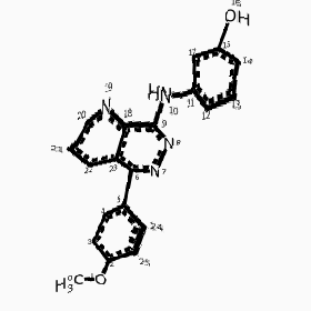 COc1ccc(-c2nnc(Nc3cccc(O)c3)c3ncccc23)cc1